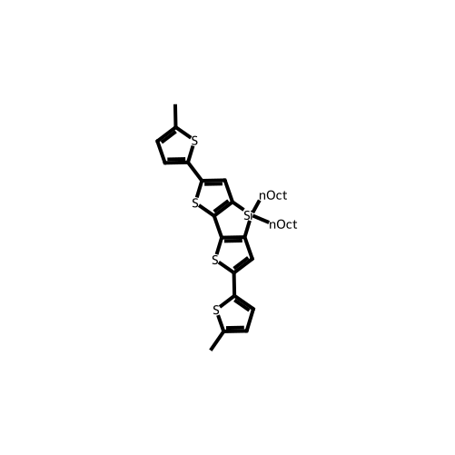 CCCCCCCC[Si]1(CCCCCCCC)c2cc(-c3ccc(C)s3)sc2-c2sc(-c3ccc(C)s3)cc21